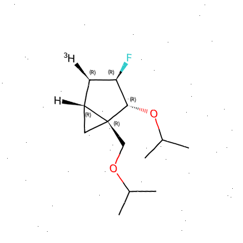 [3H][C@H]1[C@@H](F)[C@H](OC(C)C)[C@]2(COC(C)C)C[C@H]12